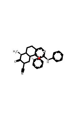 C[C@@H]1C(=O)C(C#N)C[C@]2(c3ccccc3)c3nc(Nc4ccccc4)ncc3CCC12